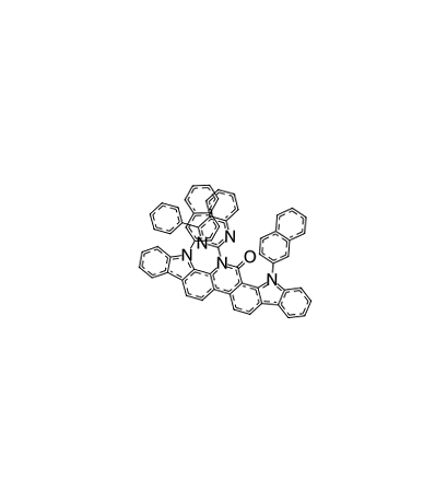 O=c1c2c(ccc3c4ccccc4n(-c4ccc5ccccc5c4)c32)c2ccc3c4ccccc4n(-c4ccc5ccccc5c4)c3c2n1-c1nc(-c2ccccc2)c2ccccc2n1